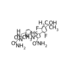 CC1(Cc2cccc(Nc3sc(-c4c(F)cc(C(C)(C)O)cc4F)cc3C(N)=O)n2)N=C(C(N)=O)ON1